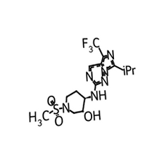 CC(C)c1nc(C(F)(F)F)c2cnc(N[C@@H]3CCN(S(C)(=O)=O)C[C@H]3O)nn12